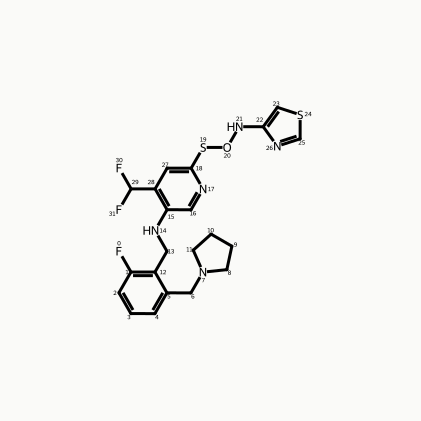 Fc1cccc(CN2CCCC2)c1CNc1cnc(SONc2cscn2)cc1C(F)F